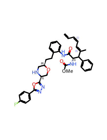 C=C/C=C\C=C(/C)C(c1ccccc1)[C@H](NC(=O)OC)C(=O)Nc1ccccc1CC[C@@H]1CN[C@H](c2nnc(-c3ccc(F)cc3)o2)CO1